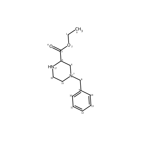 CCOC(=O)C1CN(Cc2ccccc2)CCN1